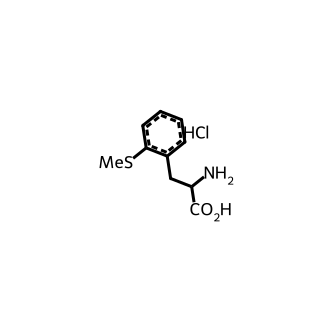 CSc1ccccc1CC(N)C(=O)O.Cl